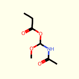 CCC(=O)OC(NC(C)=O)OC